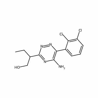 CCC(CO)c1nnc(-c2cccc(Cl)c2Cl)c(N)n1